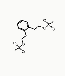 CS(=O)(=O)OCCc1ccccc1CCOS(C)(=O)=O